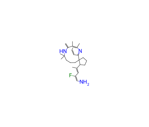 C=C1NC(C)(C)CCCC2(CCCC2/C(C)=C/C(F)=C\N)C(/C=C\C)=N/C(C)=C\1C